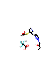 CCC(=O)Cn1ccc(/C=C2\CNCCC2SC(C)=O)n1.O=C(O)C(F)(F)F